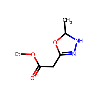 CCOC(=O)CC1=NNC(C)O1